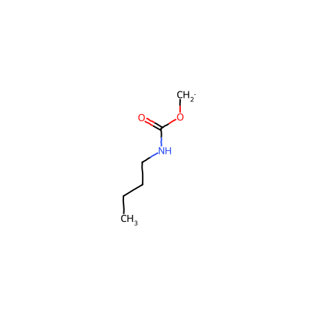 [CH2]OC(=O)NCCCC